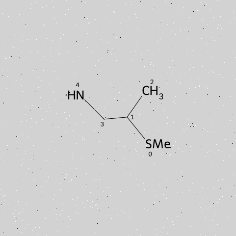 CSC(C)C[NH]